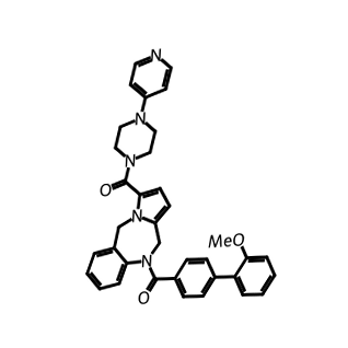 COc1ccccc1-c1ccc(C(=O)N2Cc3ccc(C(=O)N4CCN(c5ccncc5)CC4)n3Cc3ccccc32)cc1